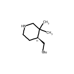 CC(C)(C)C[C@H]1CCNCC1(C)C